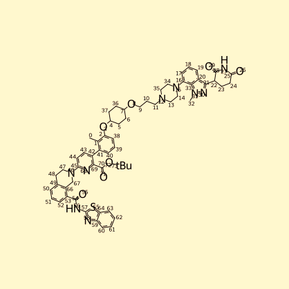 Cc1c(OC2CCC(OCCCN3CCN(c4cccc5c(C6CCC(=O)NC6=O)nn(C)c45)CC3)CC2)cccc1-c1ccc(N2CCc3cccc(C(=O)Nc4nc5ccccc5s4)c3C2)nc1C(=O)OC(C)(C)C